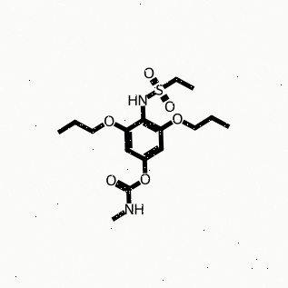 CCCOc1cc(OC(=O)NC)cc(OCCC)c1NS(=O)(=O)CC